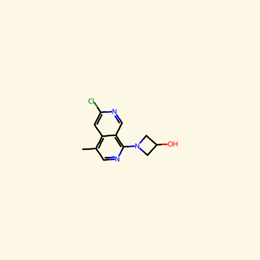 Cc1cnc(N2CC(O)C2)c2cnc(Cl)cc12